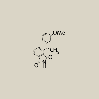 COc1cccc(C(C)c2cccc3c2C(=O)NC3=O)c1